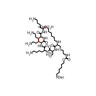 CCCCCCCCCCCCCCCCNC(CSCCNC(=O)OCCCCCCCCCCCCCCCC)C(=O)NC(CO)C(=O)NC(CCCCN)C(=O)NC(CCCCN)C(=O)NC(CCCCN)C(=O)NC(CCCCN)C(=O)O